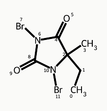 CCC1(C)C(=O)N(Br)C(=O)N1Br